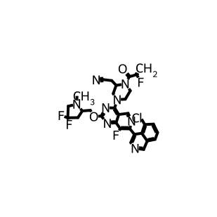 C=C(F)C(=O)N1CCN(c2nc(OCC3CC(F)(F)CN3C)nc3c(F)c(-c4cncc5cccc(Cl)c45)ncc23)CC1CC#N